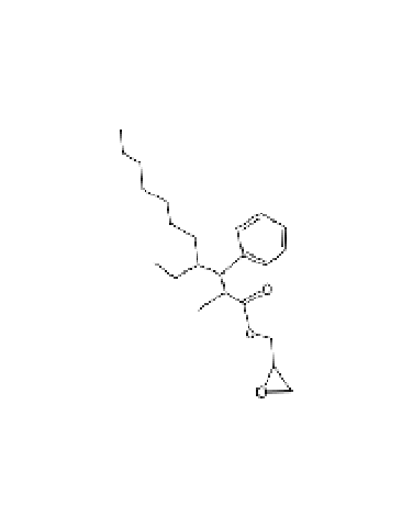 CCCCCCCC(CC)C(c1ccccc1)C(C)C(=O)OCC1CO1